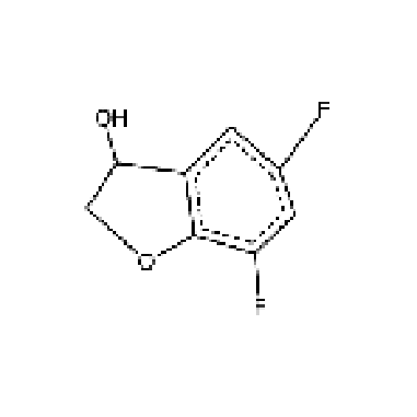 OC1COc2c(F)cc(F)cc21